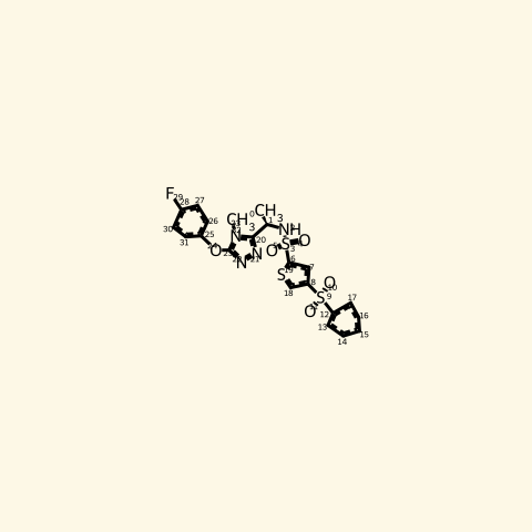 C[C@@H](NS(=O)(=O)c1cc(S(=O)(=O)c2ccccc2)cs1)c1nnc(Oc2ccc(F)cc2)n1C